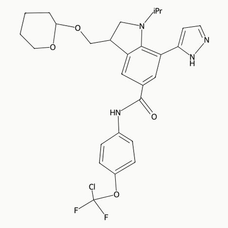 CC(C)N1CC(COC2CCCCO2)c2cc(C(=O)Nc3ccc(OC(F)(F)Cl)cc3)cc(-c3ccn[nH]3)c21